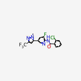 Cn1nc(C(F)(F)F)cc1-c1cnc(NC(=O)c2ccccc2Cl)c(F)c1